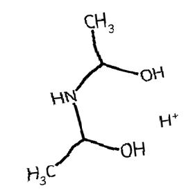 CC(O)NC(C)O.[H+]